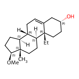 CC[C@]12CC[C@@H](O)CC1=CC[C@@H]1[C@@H]2CC[C@]2(C)[C@@H](OC)CC[C@@H]12